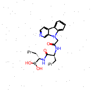 CC(C)C[C@H](NC(=O)[C@H](CC(C)C)NC(=O)Cn1c2ccccc2c2ccncc21)B(O)O